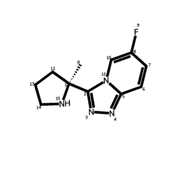 C[C@@]1(c2nnc3ccc(F)cn23)CCCN1